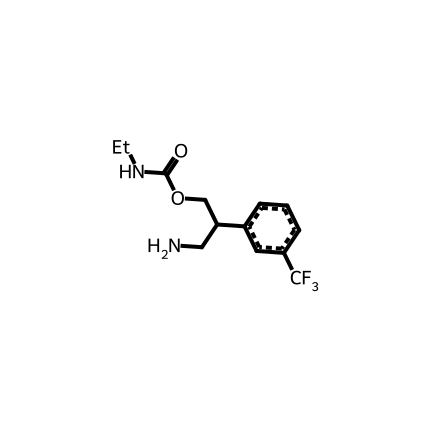 CCNC(=O)OCC(CN)c1cccc(C(F)(F)F)c1